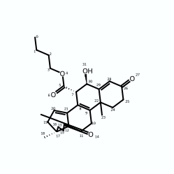 CCCCOC(=O)[C@H]1C2=C(CCC34C(=O)CC[C@]3(C)CC=C24)C2(C)CCC(=O)C=C2[C@@H]1O